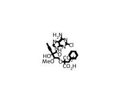 CC#C[C@@](O)([C@@H](COC(Cc1ccccc1)(C(=O)O)C(=O)O)OC)[C@@H](O)n1cnc2c(N)nc(Cl)nc21